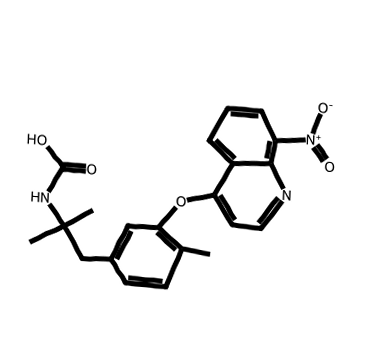 Cc1ccc(CC(C)(C)NC(=O)O)cc1Oc1ccnc2c([N+](=O)[O-])cccc12